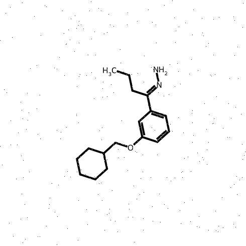 CCC/C(=N\N)c1cccc(OCC2CCCCC2)c1